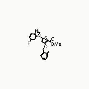 COC(=O)c1sc(-n2cnc3ccc(F)cc32)cc1OCc1ccccc1C